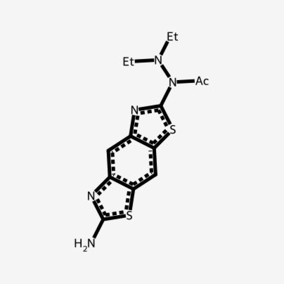 CCN(CC)N(C(C)=O)c1nc2cc3nc(N)sc3cc2s1